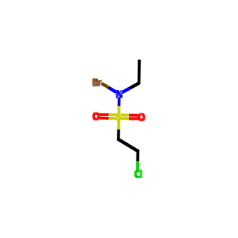 CCN(Br)S(=O)(=O)CCCl